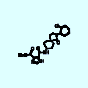 CNC(=O)c1nc[nH]c1C(=O)N[C@H]1CC[C@@]2(CCN(c3ccccc3Cl)C2=O)CC1